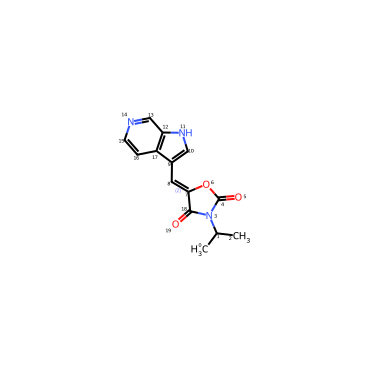 CC(C)N1C(=O)O/C(=C\c2c[nH]c3cnccc23)C1=O